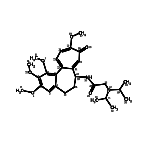 COc1cc2c(c(OC)c1OC)-c1ccc(OC)c(=O)cc1[C@@H](NC(=O)CN(C(C)C)C(C)C)CC2